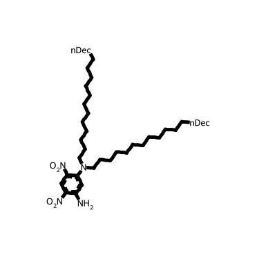 CCCCCCCCCCCCCCCCCCCCCCN(CCCCCCCCCCCCCCCCCCCCCC)c1cc(N)c([N+](=O)[O-])cc1[N+](=O)[O-]